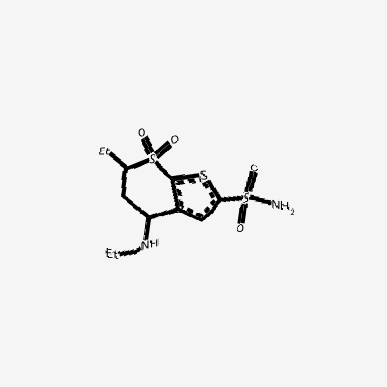 CCNC1CC(CC)S(=O)(=O)c2sc(S(N)(=O)=O)cc21